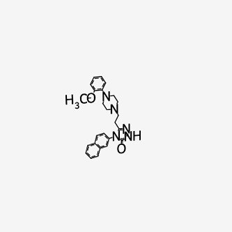 COc1ccccc1N1CCN(CCc2n[nH]c(=O)n2-c2ccc3ccccc3c2)CC1